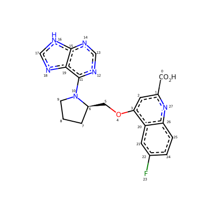 O=C(O)c1cc(OC[C@H]2CCCN2c2ncnc3[nH]cnc23)c2cc(F)ccc2n1